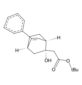 CC(C)(C)OC(=O)C[C@@]1(O)C[C@H]2CC[C@@H]1C=C2c1ccccc1